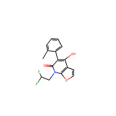 Cc1ccccc1-c1c(O)c2ccoc2n(CC(F)F)c1=O